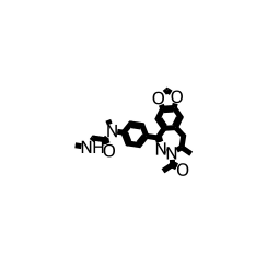 CNCC(=O)N(C)c1ccc(C2=NN(C(C)=O)C(C)Cc3cc4c(cc32)OCO4)cc1